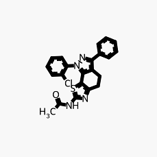 CC(=O)Nc1nc2c(s1)-c1c(c(-c3ccccc3)nn1-c1ccccc1Cl)CC2